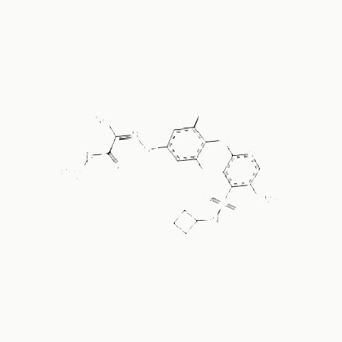 CCOC(=O)NC(=O)/C(C#N)=N\Nc1cc(Cl)c(Oc2cc(S(=O)(=O)NC3CCC3)c(OC)cn2)c(Cl)c1